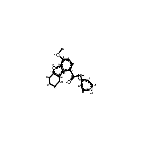 COc1ccc(C(=O)Nc2ccncc2)c2c3c(oc12)CCCC3